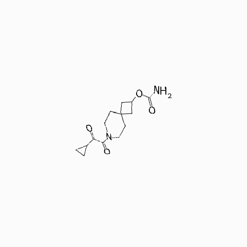 NC(=O)OC1CC2(CCN(C(=O)C(=O)C3CC3)CC2)C1